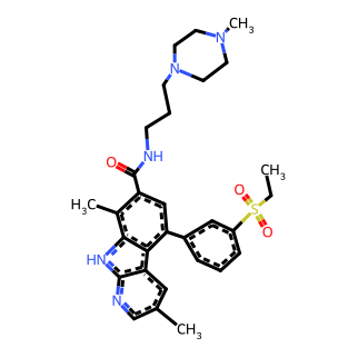 CCS(=O)(=O)c1cccc(-c2cc(C(=O)NCCCN3CCN(C)CC3)c(C)c3[nH]c4ncc(C)cc4c23)c1